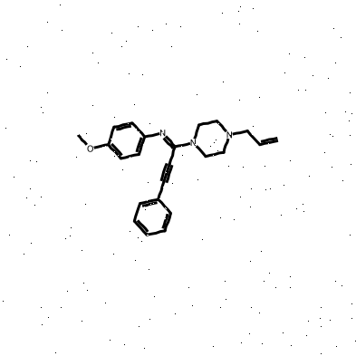 C=CCN1CCN(/C(C#Cc2ccccc2)=N/c2ccc(OC)cc2)CC1